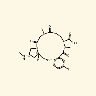 CN[C@H]1C[C@H]2COc3ccc(F)cc3C(=O)N(C)C(C(=O)O)CCC(=O)N(C)CC(=O)N2C1